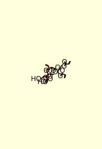 C=CC(=O)OCC(OC(=O)C=C)(OC(=O)C=C)C(C)OCC(OC(=O)C=C)(OC(=O)C=C)C(C)C(CC(=O)O)C(=O)O